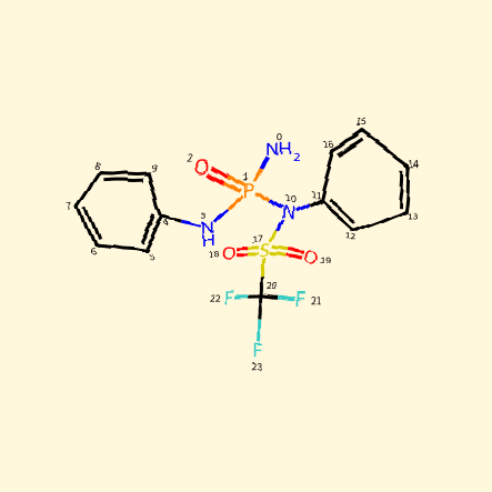 NP(=O)(Nc1ccccc1)N(c1ccccc1)S(=O)(=O)C(F)(F)F